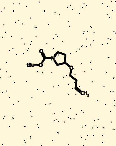 C=CCCOC1CCN(C(=O)OC(C)(C)C)C1